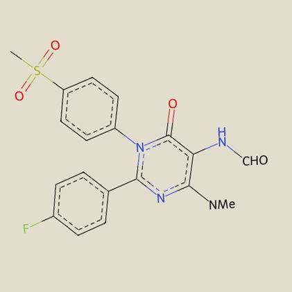 CNc1nc(-c2ccc(F)cc2)n(-c2ccc(S(C)(=O)=O)cc2)c(=O)c1NC=O